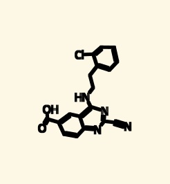 N#Cc1nc(NCCc2ccccc2Cl)c2cc(C(=O)O)ccc2n1